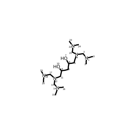 CN(C)CN(CC(O)CC(O)CN(CN(C)C)CN(C)C)CN(C)C